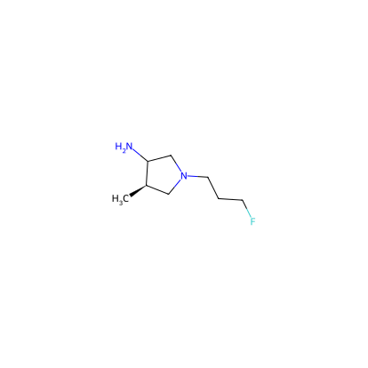 C[C@@H]1CN(CCCF)CC1N